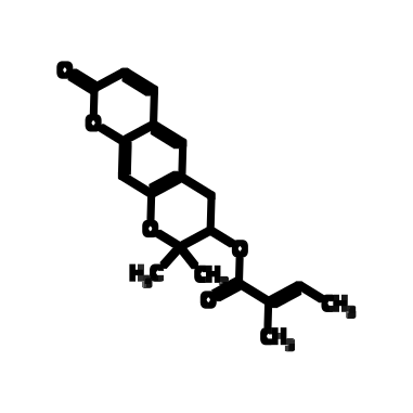 CC=C(C)C(=O)OC1Cc2cc3ccc(=O)oc3cc2OC1(C)C